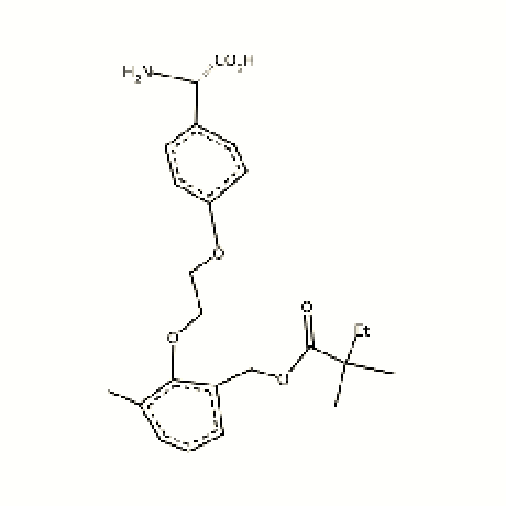 CCC(C)(C)C(=O)OCc1cccc(C)c1OCCOc1ccc([C@H](N)C(=O)O)cc1